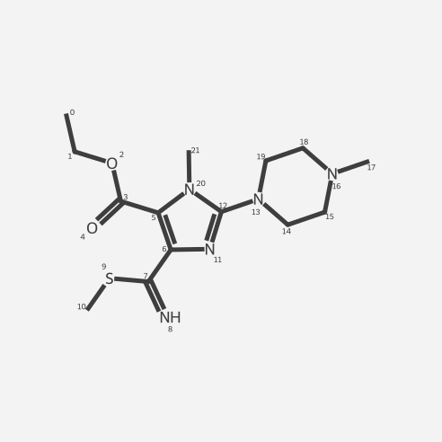 CCOC(=O)c1c(C(=N)SC)nc(N2CCN(C)CC2)n1C